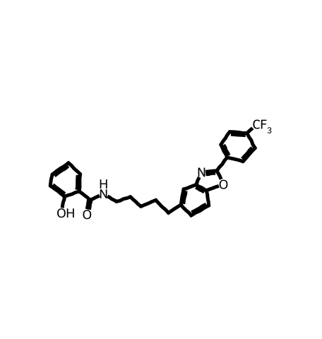 O=C(NCCCCCc1ccc2oc(-c3ccc(C(F)(F)F)cc3)nc2c1)c1ccccc1O